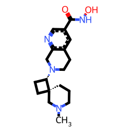 CN1CCC[C@@]2(CC[C@@H]2N2CCc3cc(C(=O)NO)cnc3C2)C1